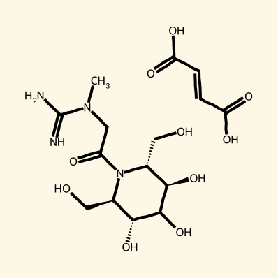 CN(CC(=O)N1[C@H](CO)[C@@H](O)C(O)[C@H](O)[C@H]1CO)C(=N)N.O=C(O)/C=C/C(=O)O